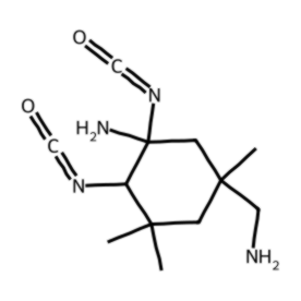 CC1(CN)CC(C)(C)C(N=C=O)C(N)(N=C=O)C1